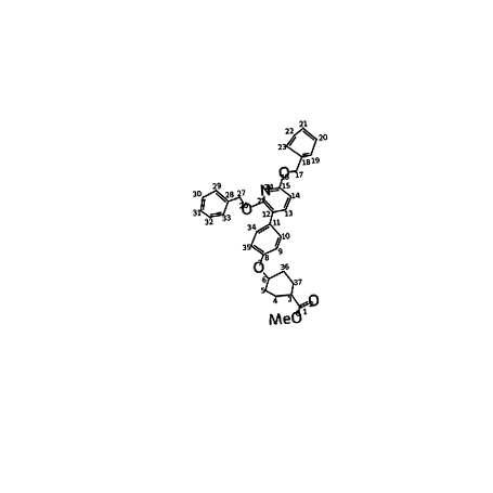 COC(=O)C1CCC(Oc2ccc(-c3ccc(OCc4ccccc4)nc3OCc3ccccc3)cc2)CC1